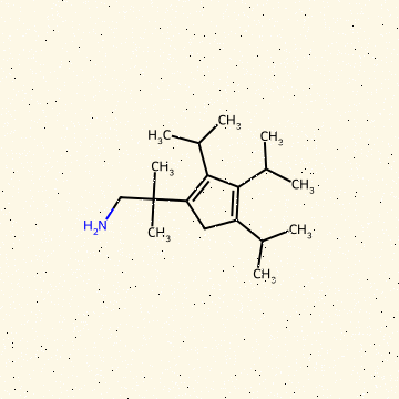 CC(C)C1=C(C(C)C)C(C(C)C)=C(C(C)(C)CN)C1